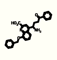 NC(CCC(=O)c1ccccc1)c1cc(C(=O)O)nc2c(OCc3ccccc3)cccc12